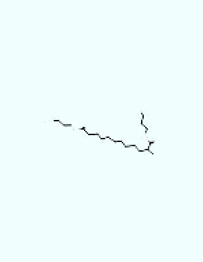 CC(C)CCCOC(=O)CCCCCCCCCC(C)C(=O)OCCCC(C)C